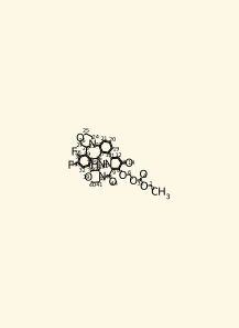 CCOC(=O)OCOc1c2n(ccc1=O)N([C@@H]1c3ccccc3N3CCOCC3c3c1ccc(F)c3F)[C@@H]1COCCN1C2=O